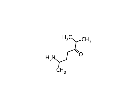 CC(N)CCC(=O)C(C)C